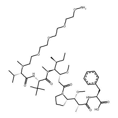 CC[C@H](C)[C@@H]([C@@H](CC(=O)N1CCC[C@H]1[C@H](OC)[C@@H](C)C(=O)N[C@@H](Cc1ccccc1)C(=O)O)OC)N(C)C(=O)[C@@H](NC(=O)[C@H](C(C)C)N(C)CCOCCOCCOCCON)C(C)(C)C